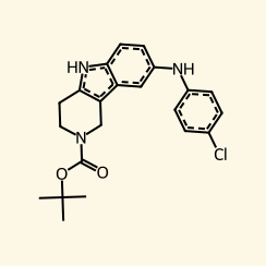 CC(C)(C)OC(=O)N1CCc2[nH]c3ccc(Nc4ccc(Cl)cc4)cc3c2C1